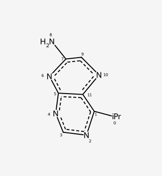 CC(C)c1ncnc2nc(N)cnc12